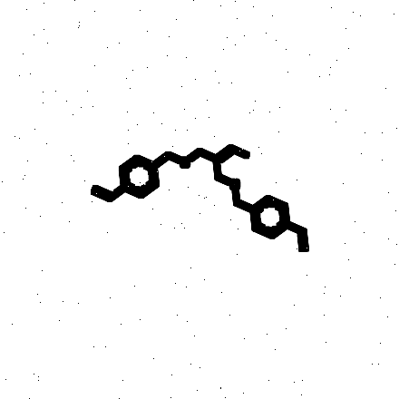 C=Cc1ccc(COCC(=CC)COCc2ccc(C=C)cc2)cc1